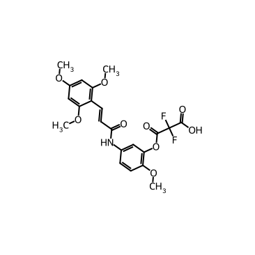 COc1cc(OC)c(/C=C/C(=O)Nc2ccc(OC)c(OC(=O)C(F)(F)C(=O)O)c2)c(OC)c1